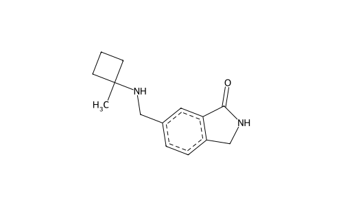 CC1(NCc2ccc3c(c2)C(=O)NC3)CCC1